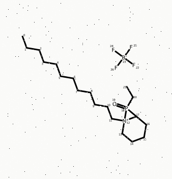 CCCCCCCCCCCC[N+]12CCCCC1P2(=O)CC.F[B-](F)(F)F